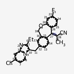 CCc1nc2cc(Cl)ccn2c1Cc1ccc2c(c1)COc1cc(F)ccc1/C2=C(/C)C#N